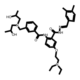 CCN(CC)CCOc1ccc(NC(=O)c2cccc(CN(CC(C)O)CC(C)O)c2)c(C(=O)NN=Cc2ccc(C)c(C)c2)c1